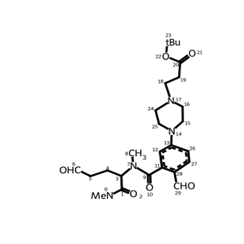 CNC(=O)C(CCC=O)N(C)C(=O)c1cc(N2CCN(CCC(=O)OC(C)(C)C)CC2)ccc1C=O